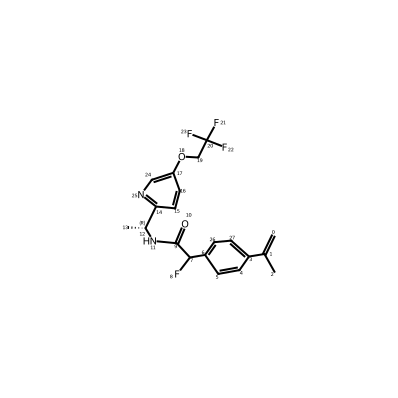 C=C(C)c1ccc(C(F)C(=O)N[C@H](C)c2ccc(OCC(F)(F)F)cn2)cc1